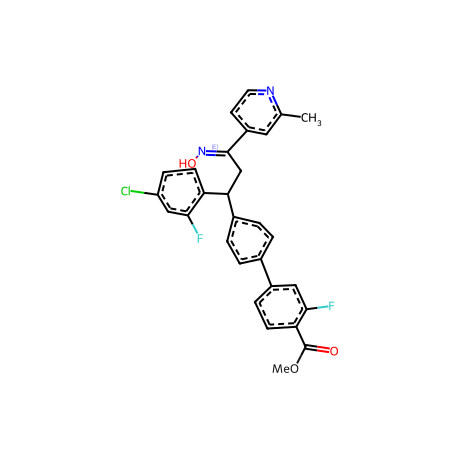 COC(=O)c1ccc(-c2ccc(C(C/C(=N\O)c3ccnc(C)c3)c3ccc(Cl)cc3F)cc2)cc1F